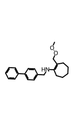 COOCC1=C(NCc2ccc(-c3ccccc3)cc2)CCCCC1